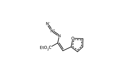 CCOC(=O)C(=Cc1ccco1)N=[N+]=[N-]